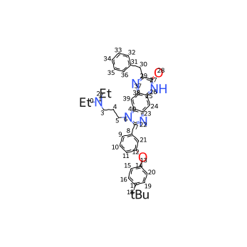 CCN(CC)CCCn1c(-c2cccc(Oc3ccc(C(C)(C)C)cc3)c2)nc2cc3[nH]c(=O)c(Cc4ccccc4)nc3cc21